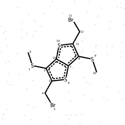 CSc1c(CBr)sc2c(SC)c(CBr)sc12